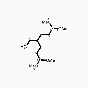 COP(CCC(CN)CCP(OC)OC)OC